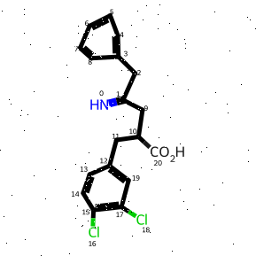 N=C(Cc1ccccc1)CC(Cc1ccc(Cl)c(Cl)c1)C(=O)O